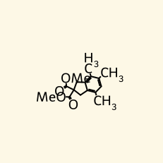 COC(=O)C1(C(=O)OC)Cc2c(C)cc(C)c(C)c2C1